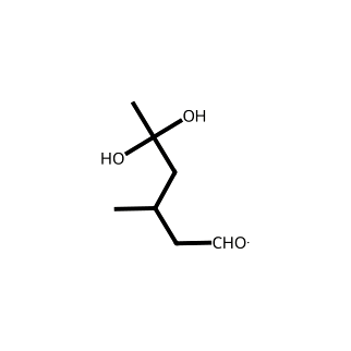 CC(C[C]=O)CC(C)(O)O